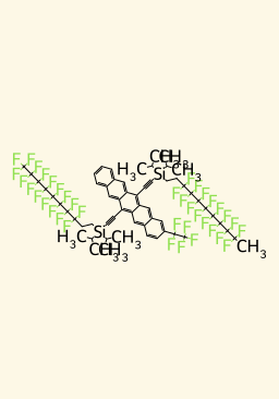 CC(C)[Si](C#Cc1c2cc3ccccc3cc2c(C#C[Si](CCC(F)(F)C(F)(F)C(F)(F)C(F)(F)C(F)(F)C(F)(F)C(F)(F)C(F)(F)F)(C(C)C)C(C)C)c2cc3ccc(C(F)(F)C(F)(F)F)cc3cc12)(CCC(F)(F)C(F)(F)C(F)(F)C(F)(F)C(F)(F)C(F)(F)C(F)(F)C(C)(F)F)C(C)C